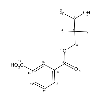 CC(C)C(O)C(C)(C)COC(=O)c1cccc(C(=O)O)c1